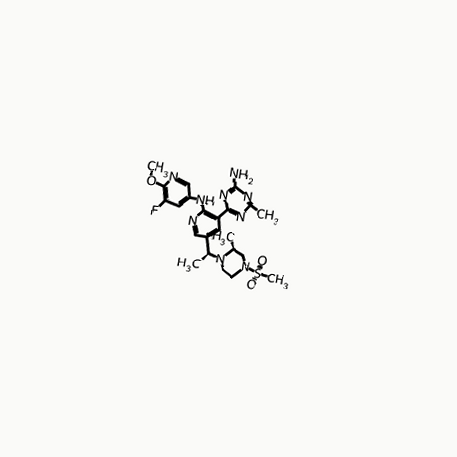 COc1ncc(Nc2ncc([C@H](C)N3CCN(S(C)(=O)=O)C[C@@H]3C)cc2-c2nc(C)nc(N)n2)cc1F